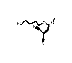 CO[C@H](C=C(C#N)C#N)OCCCCO